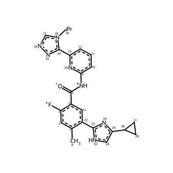 Cc1cc(F)c(C(=O)Nc2cccc(-c3nncn3C(C)C)n2)cc1-c1nc(C2CC2)c[nH]1